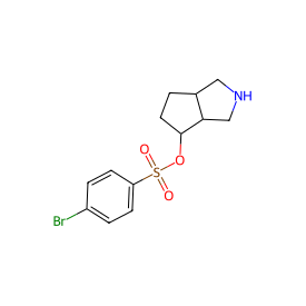 O=S(=O)(OC1CCC2CNCC21)c1ccc(Br)cc1